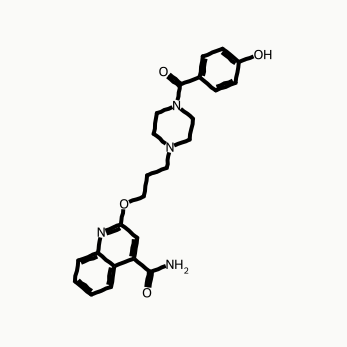 NC(=O)c1cc(OCCCN2CCN(C(=O)c3ccc(O)cc3)CC2)nc2ccccc12